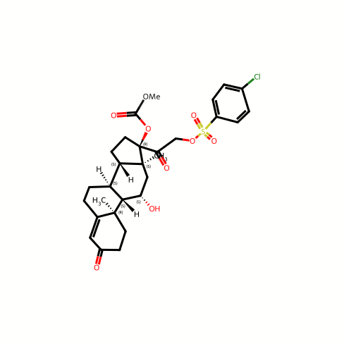 COC(=O)O[C@]1(C(=O)COS(=O)(=O)c2ccc(Cl)cc2)CC[C@H]2[C@@H]3CCC4=CC(=O)CC[C@]4(C)[C@H]3[C@@H](O)C[C@@]21C